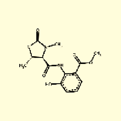 COC(=O)c1cccc(O)c1NC(=O)[C@H]1[C@H](C)OC(=O)N1C